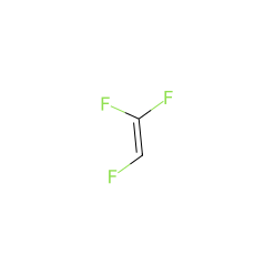 FC=C(F)F